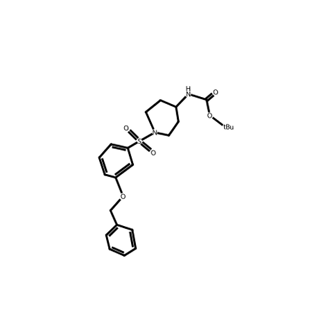 CC(C)(C)OC(=O)NC1CCN(S(=O)(=O)c2cccc(OCc3ccccc3)c2)CC1